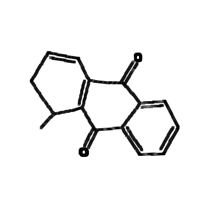 CC1CC=CC2=C1C(=O)c1ccccc1C2=O